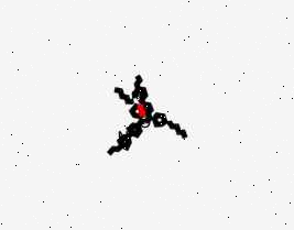 CCCCCC[C@H]1CC[C@H](C(OC(c2ccc(-c3ccc(CCC)cn3)cc2)[C@H]2CC[C@H](CCCCCC)CC2)c2ccc(-c3ccc(CCC)cn3)cc2)CC1